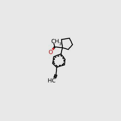 C#Cc1ccc(C2(C(C)=O)CCCC2)cc1